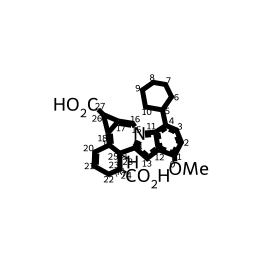 COc1ccc(C2CCCCC2)c2c1cc1n2C=C2C(=C3C=CC[C@@H](C(=O)O)[C@@H]31)C2C(=O)O